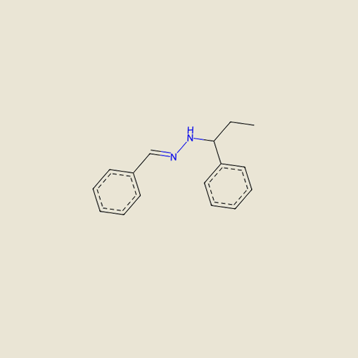 CCC(NN=Cc1ccccc1)c1ccccc1